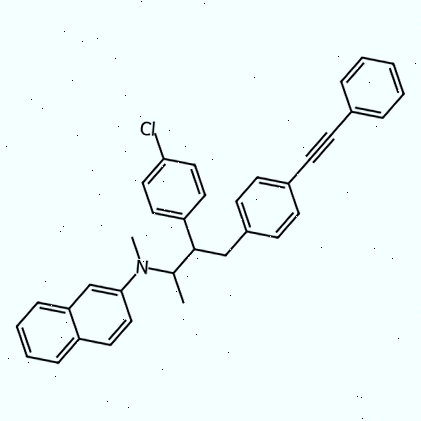 CC(C(Cc1ccc(C#Cc2ccccc2)cc1)c1ccc(Cl)cc1)N(C)c1ccc2ccccc2c1